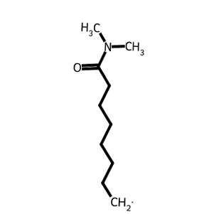 [CH2]CCCCCCC(=O)N(C)C